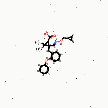 CC1(C)C(C(=O)O)C1(/C=N/OCC1CC1)Cc1ccccc1Oc1ccccc1